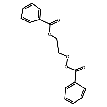 O=C(OCCOOC(=O)c1ccccc1)c1ccccc1